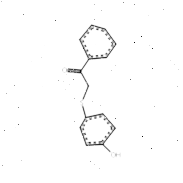 O=C(CSc1ccc(O)cc1)c1ccccc1